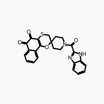 O=C1C(=O)c2ccccc2C2=C1SCC1(CCN(C(=O)c3nc4ccccc4[nH]3)CC1)O2